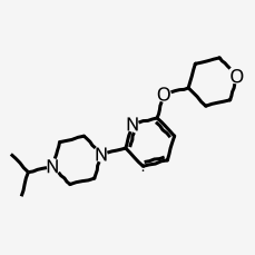 CC(C)N1CCN(c2[c]ccc(OC3CCOCC3)n2)CC1